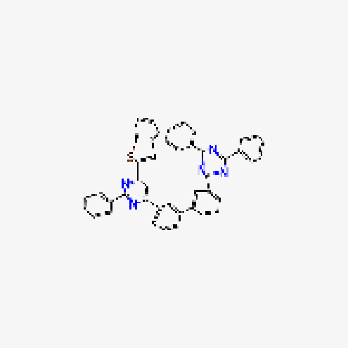 c1ccc(-c2nc(-c3cccc(-c4cccc(-c5nc(-c6ccccc6)nc(-c6ccccc6)n5)c4)c3)cc(-c3cc4ccccc4s3)n2)cc1